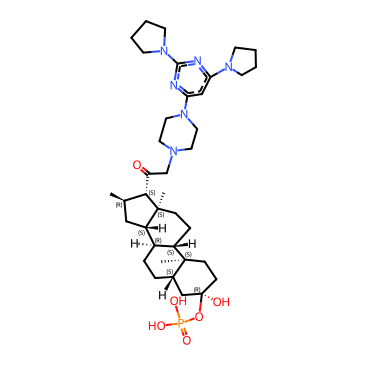 C[C@@H]1C[C@H]2[C@@H]3CC[C@H]4C[C@](O)(OP(=O)(O)O)CC[C@]4(C)[C@H]3CC[C@]2(C)[C@H]1C(=O)CN1CCN(c2cc(N3CCCC3)nc(N3CCCC3)n2)CC1